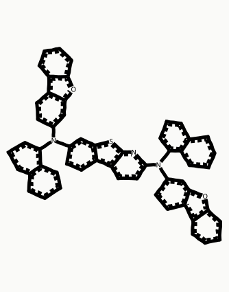 c1ccc2c(N(c3ccc4c(c3)oc3ccccc34)c3ccc4c(c3)sc3nc(N(c5ccc6c(c5)oc5ccccc56)c5cccc6ccccc56)ccc34)cccc2c1